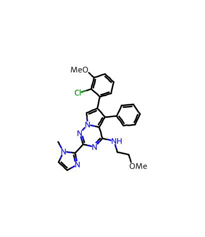 COCCNc1nc(-c2nccn2C)nn2cc(-c3cccc(OC)c3Cl)c(-c3ccccc3)c12